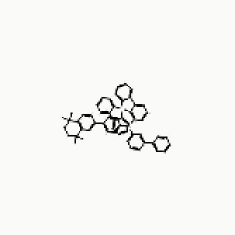 CC1(C)CCC(C)(C)c2cc(-c3ccc(N(c4cccc(-c5ccccc5)c4)c4cccc5c4[Si]4(c6ccccc6-c6ccccc64)c4ccccc4-5)cc3)ccc21